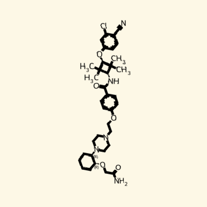 CC1(C)[C@H](NC(=O)c2ccc(OCCN3CCN([C@@H]4CCCC[C@H]4OCC(N)=O)CC3)cc2)C(C)(C)[C@H]1Oc1ccc(C#N)c(Cl)c1